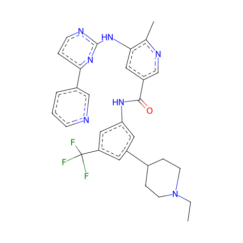 CCN1CCC(c2cc(NC(=O)c3cnc(C)c(Nc4nccc(-c5cccnc5)n4)c3)cc(C(F)(F)F)c2)CC1